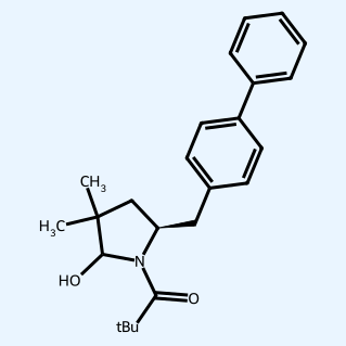 CC(C)(C)C(=O)N1C(O)C(C)(C)C[C@H]1Cc1ccc(-c2ccccc2)cc1